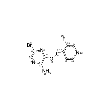 Nc1ncc(Br)nc1OCc1ccncc1F